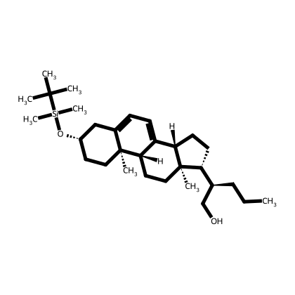 CCC[C@@H](CO)[C@H]1CC[C@H]2C3=CC=C4C[C@@H](O[Si](C)(C)C(C)(C)C)CC[C@]4(C)[C@H]3CC[C@]12C